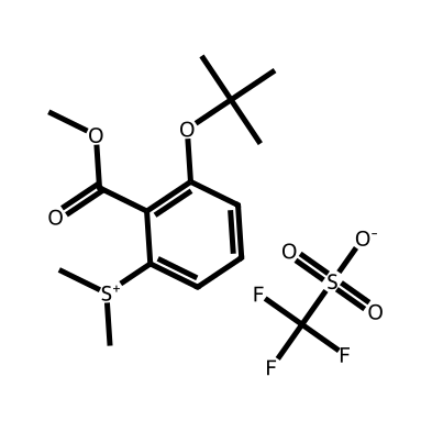 COC(=O)c1c(OC(C)(C)C)cccc1[S+](C)C.O=S(=O)([O-])C(F)(F)F